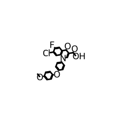 COc1ccc(Oc2ccc(-n3cc(C(=O)O)c(=O)c4cc(F)c(Cl)cc43)cc2)cc1